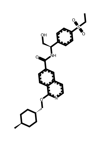 CCS(=O)(=O)c1ccc([C@H](CO)NC(=O)c2ccc3c(OC[C@H]4CC[C@H](C)CC4)nccc3c2)cc1